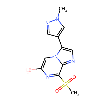 Bc1cn2c(-c3cnn(C)c3)cnc2c(S(C)(=O)=O)n1